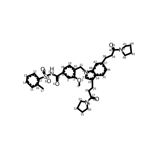 COc1cc(C(=O)NS(=O)(=O)c2ccccc2C)ccc1Cn1cc(CCC(=O)N2CCCC2)c2ccc(CCC(=O)N3CCCC3)cc21